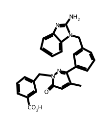 Cc1cc(=O)n(Cc2cccc(C(=O)O)c2)nc1-c1cccc(Cn2c(N)nc3ccccc32)c1